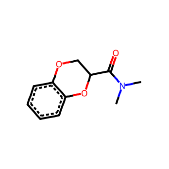 CN(C)C(=O)C1COc2ccccc2O1